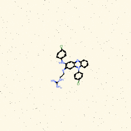 N=C(N)NCCN=c1cc2n(-c3ccc(Cl)cc3)c3ccccc3nc-2cc1Nc1ccc(Cl)cc1